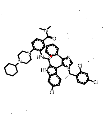 C[C@@H](c1ccc(Cl)cc1Cl)n1cnc(-c2ccccc2)c1-c1c(C(=O)Nc2cc(C(=O)N(C)C)ccc2N2CCN(C3CCCCC3)CC2)[nH]c2cc(Cl)ccc12